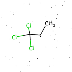 C[CH]C(Cl)(Cl)Cl